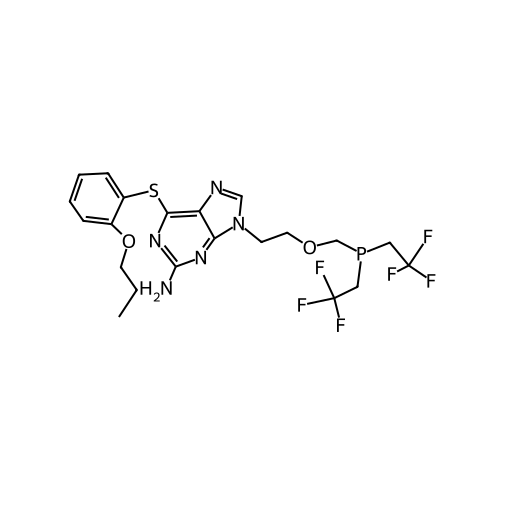 CCCOc1ccccc1Sc1nc(N)nc2c1ncn2CCOCP(CC(F)(F)F)CC(F)(F)F